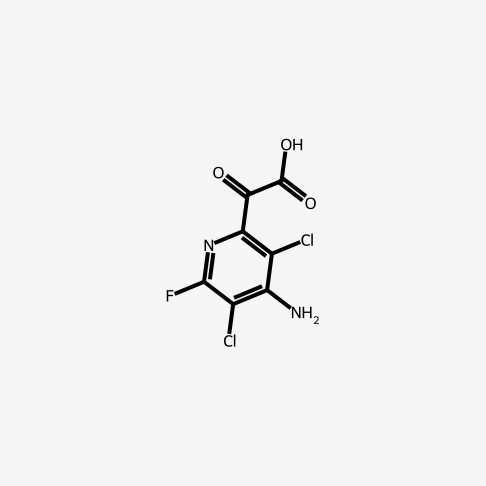 Nc1c(Cl)c(F)nc(C(=O)C(=O)O)c1Cl